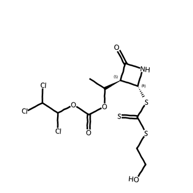 CC(OC(=O)OC(Cl)C(Cl)Cl)[C@H]1C(=O)N[C@@H]1SC(=S)SCCO